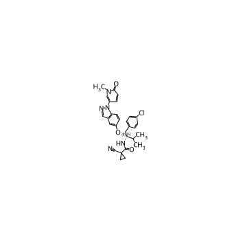 CC(C)[C@H](NC(=O)C1(C#N)CC1)[C@H](Oc1ccc2c(cnn2-c2ccc(=O)n(C)c2)c1)c1ccc(Cl)cc1